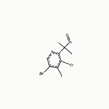 Cc1c(Br)cnc(C(C)(C)N=O)c1Cl